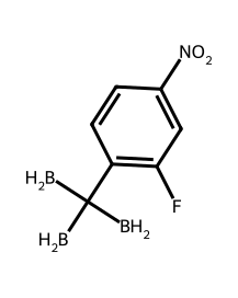 BC(B)(B)c1ccc([N+](=O)[O-])cc1F